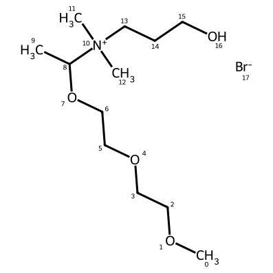 COCCOCCOC(C)[N+](C)(C)CCCO.[Br-]